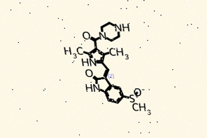 Cc1[nH]c(/C=C2\C(=O)Nc3ccc([S+](C)[O-])cc32)c(C)c1C(=O)N1CCNCC1